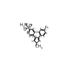 CC1C=C(c2ccc(F)cc2)C(c2ccc(S(N)(=O)=O)nc2)=C1